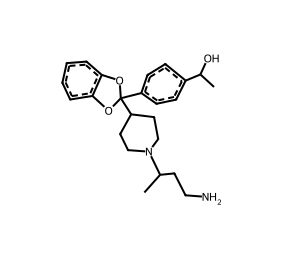 CC(O)c1ccc(C2(C3CCN(C(C)CCN)CC3)Oc3ccccc3O2)cc1